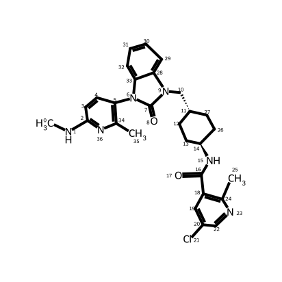 CNc1ccc(-n2c(=O)n(C[C@H]3CC[C@H](NC(=O)c4cc(Cl)cnc4C)CC3)c3ccccc32)c(C)n1